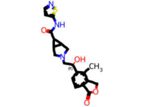 Cc1c([C@@H](O)CN2CC3C(C2)C3C(=O)Nc2ccns2)ccc2c1COC2=O